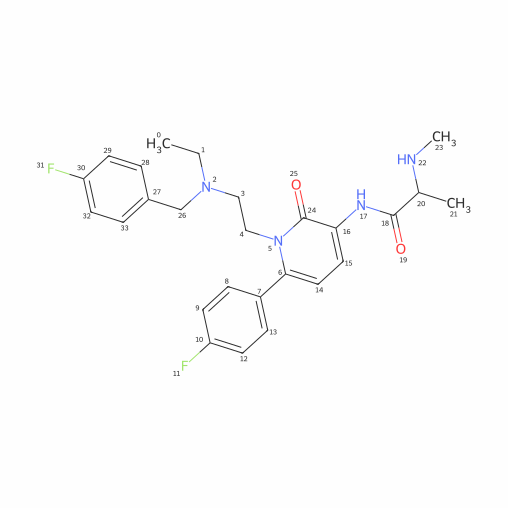 CCN(CCn1c(-c2ccc(F)cc2)ccc(NC(=O)C(C)NC)c1=O)Cc1ccc(F)cc1